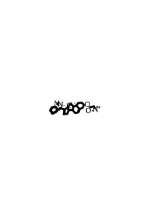 Cn1nc2ccccc2c1C1=CCC2C3CC=C4C[C@@H](OC(=O)C[N+](C)(C)C)CC[C@]4(C)C3CC[C@]12C